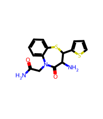 NC(=O)CN1C(=O)C(N)C(c2cccs2)Sc2ccccc21